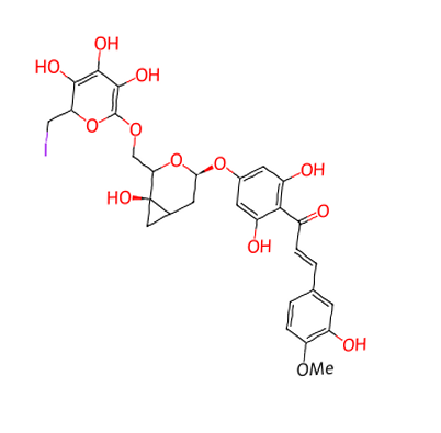 COc1ccc(/C=C/C(=O)c2c(O)cc(O[C@H]3CC4C[C@]4(O)C(COC4=C(O)C(O)=C(O)C(CI)O4)O3)cc2O)cc1O